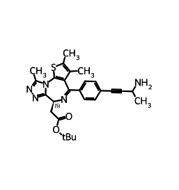 Cc1sc2c(c1C)C(c1ccc(C#CC(C)N)cc1)=N[C@@H](CC(=O)OC(C)(C)C)c1nnc(C)n1-2